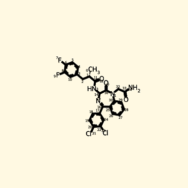 C[C@@H](Cc1ccc(F)c(F)c1)C(=O)NC1N=C(c2ccc(Cl)c(Cl)c2)c2ccccc2N(CC(N)=O)C1=O